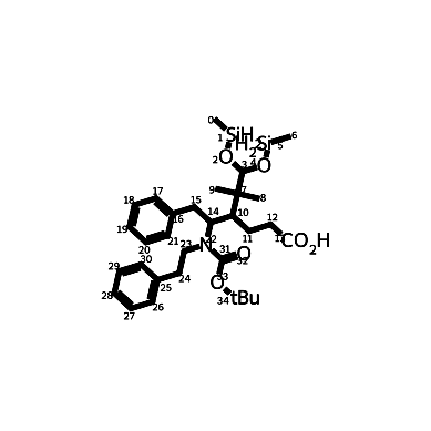 C[SiH2]OC(O[SiH2]C)C(C)(C)C(CCC(=O)O)C(Cc1ccccc1)N(CCc1ccccc1)C(=O)OC(C)(C)C